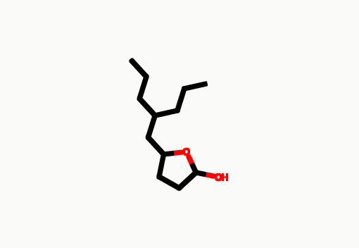 CCCC(CCC)CC1CCC(O)O1